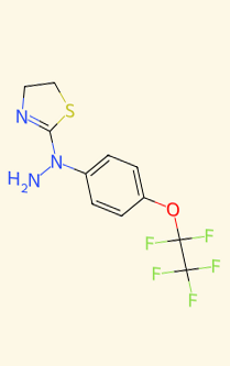 NN(C1=NCCS1)c1ccc(OC(F)(F)C(F)(F)F)cc1